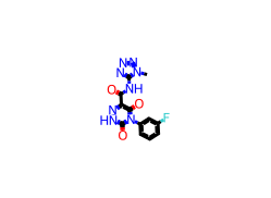 Cn1nnnc1NC(=O)c1n[nH]c(=O)n(-c2cccc(F)c2)c1=O